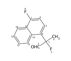 CC(F)(C=O)c1ccc(F)c2ccccc12